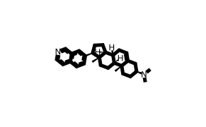 CN(C)[C@H]1CC[C@@]2(C)C(=CC[C@H]3[C@@H]4CC[C@H](c5ccc6ccncc6c5)[C@@]4(C)CC[C@@H]32)C1